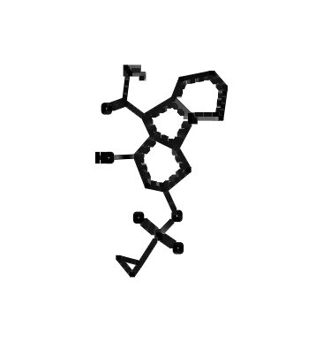 NC(=O)c1c2c(O)cc(OS(=O)(=O)C3CC3)cc2n2ccccc12